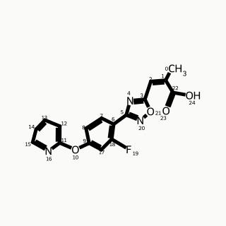 CC(=Cc1nc(-c2ccc(Oc3ccccn3)cc2F)no1)C(=O)O